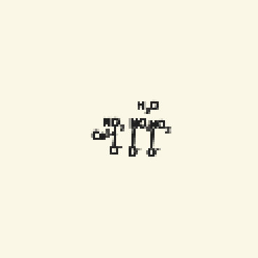 O.O=[N+]([O-])[O-].O=[N+]([O-])[O-].O=[N+]([O-])[O-].[Ce+3]